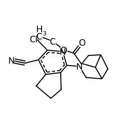 CCOC(=O)CC1C2CC1CN(c1nc(Cl)c(C#N)c3c1CCC3)C2